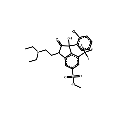 CCN(CC)CCN1C(=O)C(O)(c2ccccc2Cl)c2c1cc(S(=O)(=O)NC)cc2C(F)(F)F